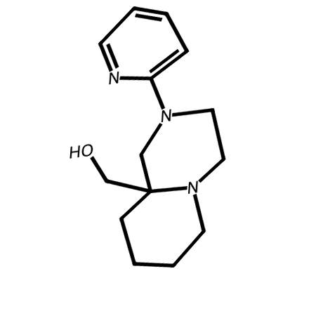 OCC12CCCCN1CCN(c1ccccn1)C2